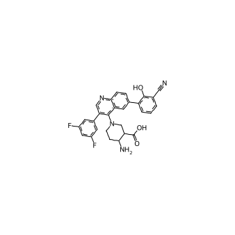 N#Cc1cccc(-c2ccc3ncc(-c4cc(F)cc(F)c4)c(N4CCC(N)C(C(=O)O)C4)c3c2)c1O